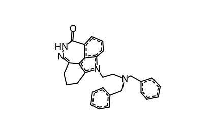 O=C1NN=C2CCCc3c2c2c1cccc2n3CCN(Cc1ccccc1)Cc1ccccc1